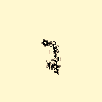 CC(C)CC(NC(=O)OC(C)(C)C)C(=O)NCC(=O)NCCNC(=O)CN(C)C(=O)OCc1ccccc1